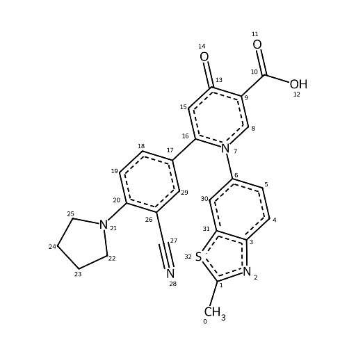 Cc1nc2ccc(-n3cc(C(=O)O)c(=O)cc3-c3ccc(N4CCCC4)c(C#N)c3)cc2s1